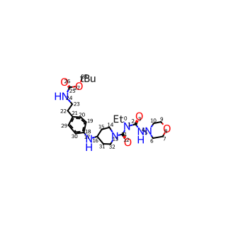 CCN(C(=O)NN1CCOCC1)C(=O)N1CCC(Nc2ccc(CCNC(=O)OC(C)(C)C)cc2)CC1